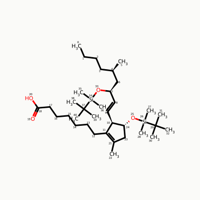 CCCC[C@@H](C)C[C@@H](C=C[C@@H]1C(CCCCCCC(=O)O)=C(C)C[C@H]1O[Si](C)(C)C(C)(C)C)O[Si](C)(C)C(C)(C)C